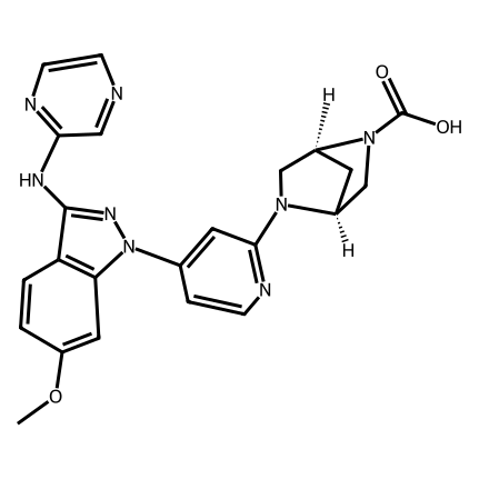 COc1ccc2c(Nc3cnccn3)nn(-c3ccnc(N4C[C@@H]5C[C@H]4CN5C(=O)O)c3)c2c1